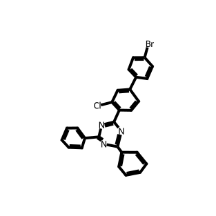 Clc1cc(-c2ccc(Br)cc2)ccc1-c1nc(-c2ccccc2)nc(-c2ccccc2)n1